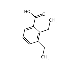 CCc1cccc(C(=O)O)c1CC